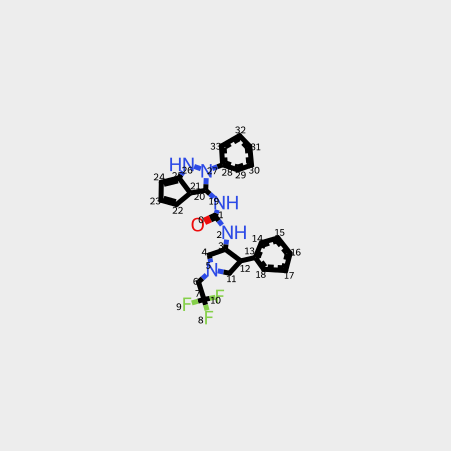 O=C(NC1CN(CC(F)(F)F)CC1c1ccccc1)NC1C2C=CC=C2NN1c1ccccc1